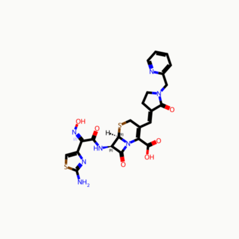 Nc1nc(/C(=N/O)C(=O)N[C@@H]2C(=O)N3C(C(=O)O)=C(C=C4CCN(Cc5ccccn5)C4=O)CS[C@H]23)cs1